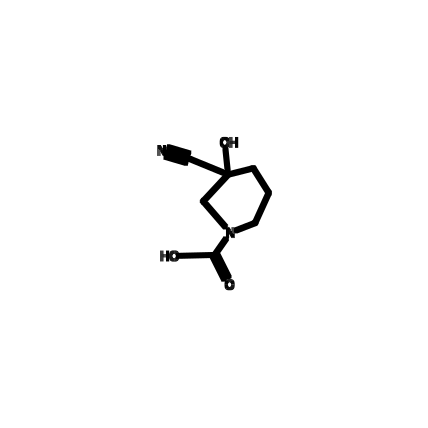 N#CC1(O)CCCN(C(=O)O)C1